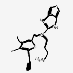 C#Cc1sc(CN(CCCN)c2nc3cscc3[nH]2)c(C)c1Br